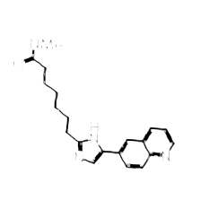 CNC(=O)CCCCCCc1ncc(-c2ccc3ncccc3c2)[nH]1